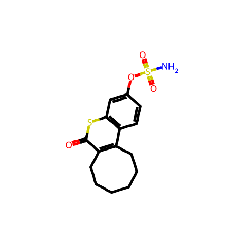 NS(=O)(=O)Oc1ccc2c3c(c(=O)sc2c1)CCCCCC3